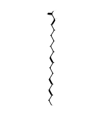 CCC=CC=CCCC=CCCCCCC=CC(=O)O